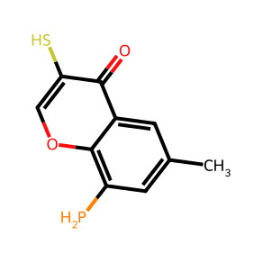 Cc1cc(P)c2occ(S)c(=O)c2c1